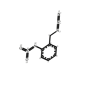 [N-]=[N+]=NCc1ccccc1N=S(=O)=O